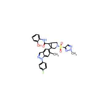 Cc1cc2c(cnn2-c2ccc(F)cc2)cc1C12CN(S(=O)(=O)c3cnn(C)n3)CC1C2C(=O)Nc1ccccc1O